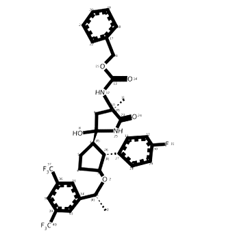 C[C@@H](OC1CC[C@@H](C2(O)C[C@@](C)(NC(=O)OCc3ccccc3)C(=O)N2)[C@@H]1c1ccc(F)cc1)c1cc(C(F)(F)F)cc(C(F)(F)F)c1